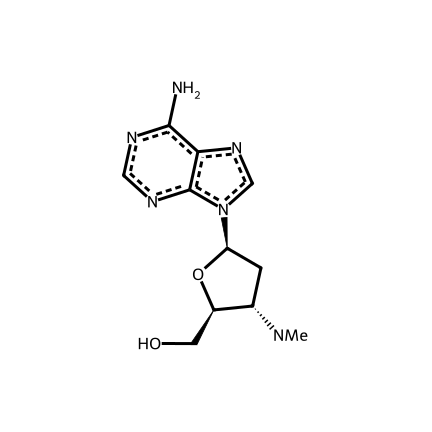 CN[C@H]1C[C@H](n2cnc3c(N)ncnc32)O[C@@H]1CO